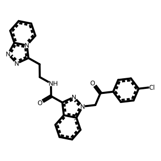 O=C(Cn1nc(C(=O)NCCc2nnc3ccccn23)c2ccccc21)c1ccc(Cl)cc1